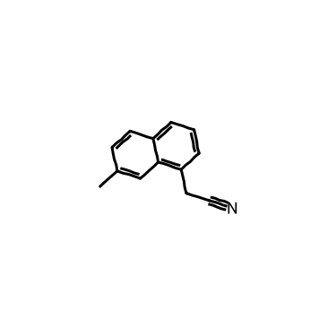 Cc1ccc2cccc(CC#N)c2c1